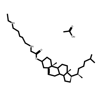 CC(=O)O.CCNCCCCCNCC(=O)OC1CC[C@@]2(C)C(=CCC3C2CC[C@@]2(C)C3CC[C@@H]2[C@H](C)CCCC(C)C)C1